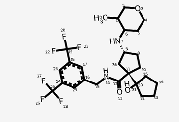 CC1COCCC1N[C@@H]1CC[C@@](C(=O)NCc2cc(C(F)(F)F)cc(C(F)(F)F)c2)(C2(O)CCCC2)C1